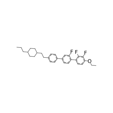 CCCC1CCC(CCc2ccc(-c3ccc(-c4ccc(OCC)c(F)c4F)c(F)c3)cc2)CC1